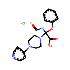 Cl.O=CNC(Oc1ccccc1)(C(=O)O)N1CCN(c2ccncc2)CC1